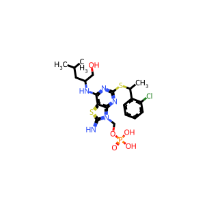 CC(C)CC(CO)Nc1nc(SC(C)c2ccccc2Cl)nc2c1sc(=N)n2COP(=O)(O)O